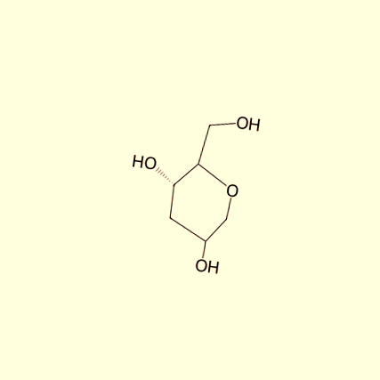 OCC1OCC(O)C[C@@H]1O